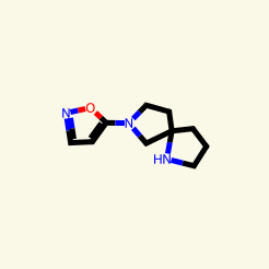 c1cc(N2CCC3(CCCN3)C2)on1